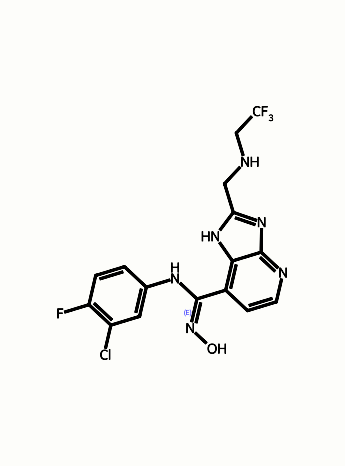 O/N=C(/Nc1ccc(F)c(Cl)c1)c1ccnc2nc(CNCC(F)(F)F)[nH]c12